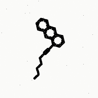 CCCCCC#Cc1cccc2cc3ccccc3cc12